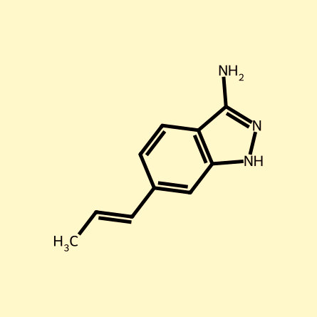 CC=Cc1ccc2c(N)n[nH]c2c1